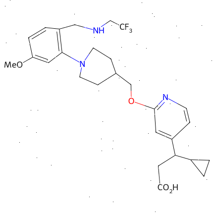 COc1ccc(CNCC(F)(F)F)c(N2CCC(COc3cc(C(CC(=O)O)C4CC4)ccn3)CC2)c1